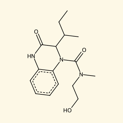 CCC(C)C1C(=O)Nc2ccccc2N1C(=O)N(C)CCO